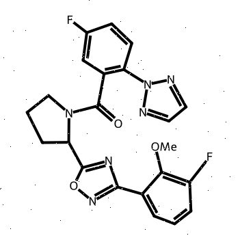 COc1c(F)cccc1-c1noc(C2CCCN2C(=O)c2cc(F)ccc2-n2nccn2)n1